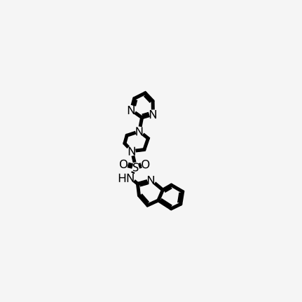 O=S(=O)(Nc1ccc2ccccc2n1)N1CCN(c2ncccn2)CC1